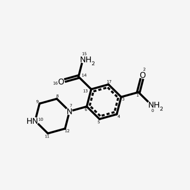 NC(=O)c1ccc(N2CCNCC2)c(C(N)=O)c1